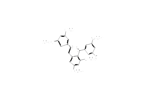 COc1cc(/C=C/c2cc(OC)cc(OC)c2C(O)c2cc(C)cc(OC)c2)cc(OC)c1